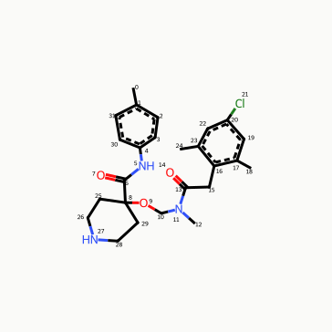 Cc1ccc(NC(=O)C2(OCN(C)C(=O)Cc3c(C)cc(Cl)cc3C)CCNCC2)cc1